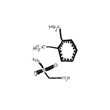 CC(=O)OS(=O)(=O)CC(=O)O.O=C(O)c1ccccc1C(=O)O